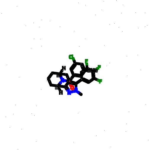 COc1cc(Cl)cc(C(=O)N2[C@@H]3CCC[C@H]2c2nn(C)c(-c4cc(F)c(F)c(F)c4)c2C3)c1